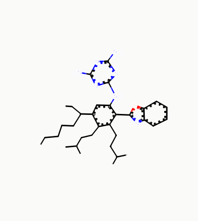 CCCCCC(CC)c1cc(Nc2nc(N)nc(N)n2)c(-c2nc3ccccc3o2)c(CCC(C)C)c1CCC(C)C